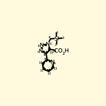 C[Si](C)(C)Cn1nnc(-c2ccccn2)c1C(=O)O